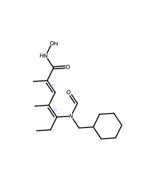 CC/C(=C(C)/C=C(\C)C(=O)NO)N(C=O)CC1CCCCC1